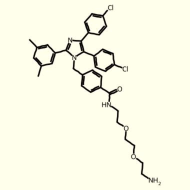 Cc1cc(C)cc(-c2nc(-c3ccc(Cl)cc3)c(-c3ccc(Cl)cc3)n2Cc2ccc(C(=O)NCCOCCOCCN)cc2)c1